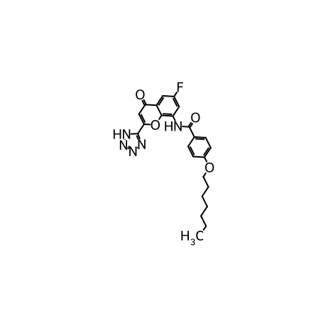 CCCCCCCOc1ccc(C(=O)Nc2cc(F)cc3c(=O)cc(-c4nnn[nH]4)oc23)cc1